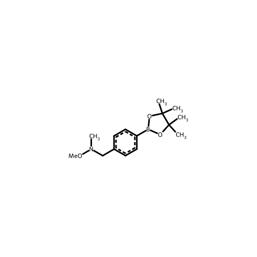 CON(C)Cc1ccc(B2OC(C)(C)C(C)(C)O2)cc1